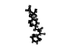 CC(c1ncccn1)N(C)Cc1ccc(OC(C)(F)C2CC2)nn1